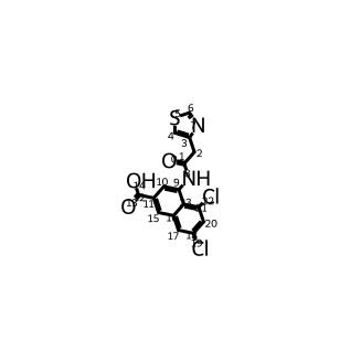 O=C(Cc1cscn1)Nc1cc(C(=O)O)cc2cc(Cl)cc(Cl)c12